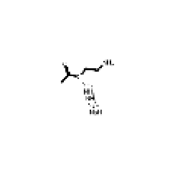 CC(=O)OCCN.N.N.N.[NaH].[NaH]